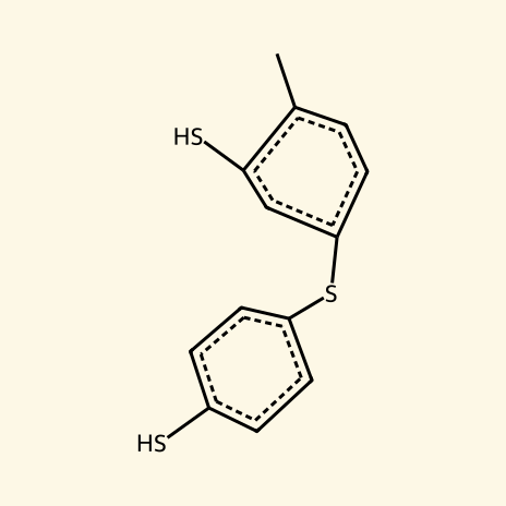 Cc1ccc(Sc2ccc(S)cc2)cc1S